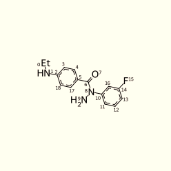 CCNc1ccc(C(=O)N(N)c2cccc(F)c2)cc1